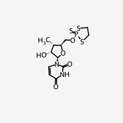 C[C@H]1[C@@H](O)[C@H](n2ccc(=O)[nH]c2=O)O[C@@H]1COP1(=S)SCCS1